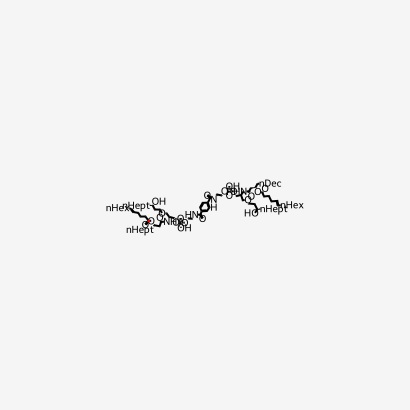 CCCCCC/C=C/CCCC(=O)O[C@H](CCCCCCC)CC(=O)NC(COCC[C@H](O)CCCCCCC)COP(=O)(O)OCCNC(=O)c1ccc(C(=O)NCCOP(=O)(O)OCC(COCC[C@H](O)CCCCCCC)NC(=O)C[C@@H](CCCCCCCCCCC)OC(=O)CCC/C=C/CCCCCC)cc1